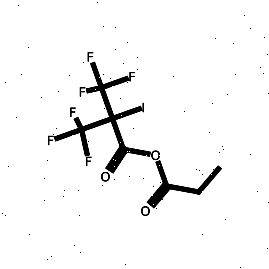 CCC(=O)OC(=O)C(I)(C(F)(F)F)C(F)(F)F